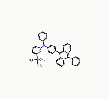 C[Si](C)(C)c1cccc(N(c2ccccc2)c2ccc(-c3c4ccccc4c(-c4ccccc4)c4ccccc34)cc2)n1